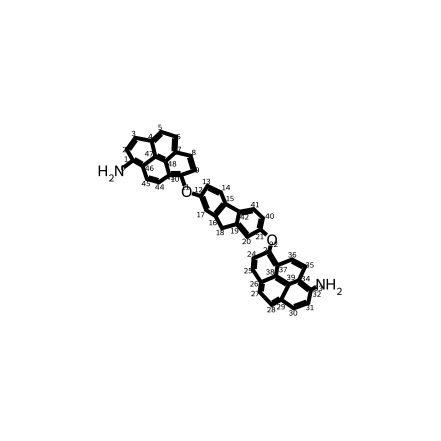 Nc1ccc2ccc3ccc(Oc4ccc5c(c4)Cc4cc(Oc6ccc7ccc8ccc(N)c9ccc6c7c89)ccc4-5)c4ccc1c2c34